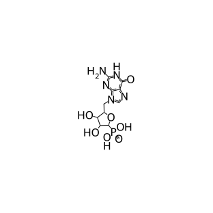 Nc1nc2c(ncn2CC2OC(P(=O)(O)O)C(O)C2O)c(=O)[nH]1